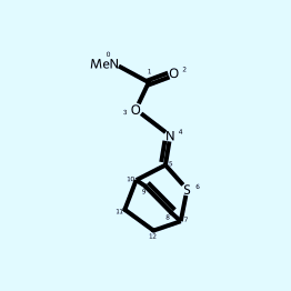 CNC(=O)ON=C1SC2C=CC1CC2